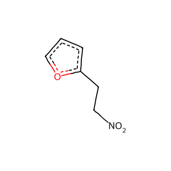 O=[N+]([O-])CCc1ccco1